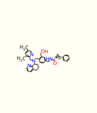 Cc1cnc(CN(Cc2ccc(CNC(=O)[C@@H]3C[C@H]3c3ccccc3)cc2CO)C2CCCc3cccnc32)c(C)c1